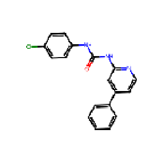 O=C(Nc1ccc(Cl)cc1)Nc1cc(-c2ccccc2)ccn1